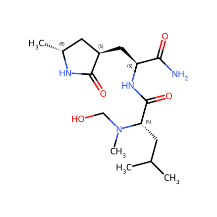 CC(C)C[C@@H](C(=O)N[C@@H](C[C@@H]1C[C@@H](C)NC1=O)C(N)=O)N(C)CO